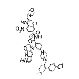 CC1(C)CCC(CN2CCN(c3ccc(C(=O)NS(=O)(=O)c4cc5c(c([N+](=O)[O-])c4)N[C@@H](CN4CCOCC4)CO5)c(N4CCOc5nc6[nH]ccc6cc54)c3)CC2)=C(c2ccc(Cl)cc2)C1